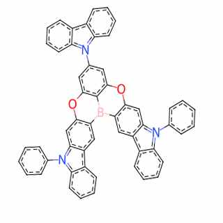 c1ccc(-n2c3ccccc3c3cc4c(cc32)Oc2cc(-n3c5ccccc5c5ccccc53)cc3c2B4c2cc4c5ccccc5n(-c5ccccc5)c4cc2O3)cc1